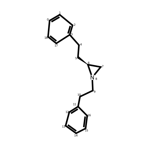 c1ccc(CC[C@H]2CN2CCc2ccccc2)cc1